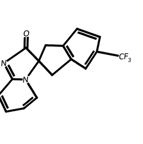 O=C1N=C2C=CC=CN2C12Cc1ccc(C(F)(F)F)cc1C2